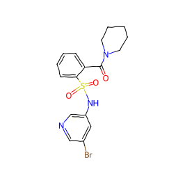 O=C(c1ccccc1S(=O)(=O)Nc1cncc(Br)c1)N1CCCCC1